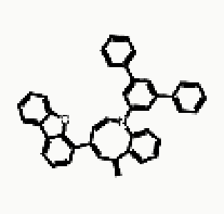 C=C1/C=C(c2cccc3c2oc2ccccc23)\C=C/N(c2cc(-c3ccccc3)cc(-c3ccccc3)c2)c2ccccc21